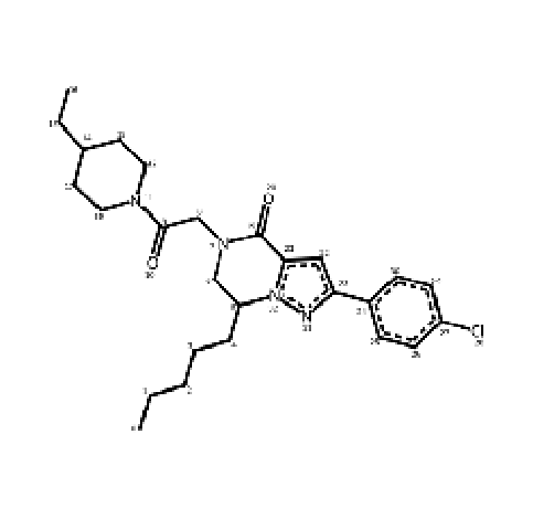 CCCCCC1CN(CC(=O)N2CCC(CC)CC2)C(=O)c2cc(-c3ccc(Cl)cc3)nn21